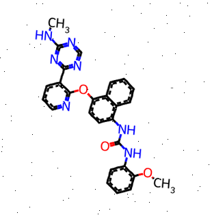 CNc1ncnc(-c2cccnc2Oc2ccc(NC(=O)Nc3ccccc3OC)c3ccccc23)n1